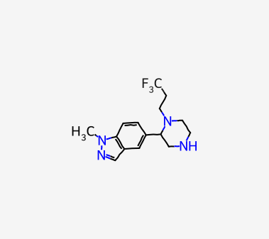 Cn1ncc2cc(C3CNCCN3CCC(F)(F)F)ccc21